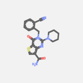 N#Cc1ccccc1Cn1c(N2CCCCC2)nc2c(C(N)=O)csc2c1=O